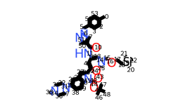 Cc1ccc(Cn2cc(C(=O)NC3=CN(COCC[Si](C)(C)C)COC(c4cc5cc(N6CCN(C)CC6)ccc5n4C(=O)OC(C)(C)C)=C3)cn2)cc1